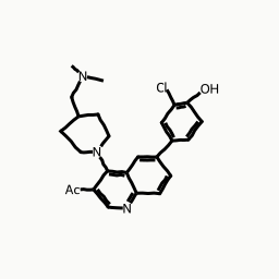 CC(=O)c1cnc2ccc(-c3ccc(O)c(Cl)c3)cc2c1N1CCC(CN(C)C)CC1